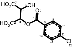 O=C(OC(C(=O)O)C(O)C(=O)O)c1ccc(Cl)cc1